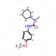 CN(C(=O)Nc1ccc(OC(F)(F)F)cc1)C1CCCCC1